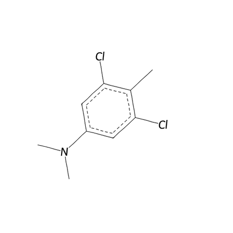 Cc1c(Cl)cc(N(C)C)cc1Cl